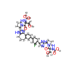 COC(=O)N[C@H](C(=O)N1CCC[C@H]1c1ncc(-c2ccc(-c3ccc4c(c3)CCCc3[nH]c([C@@H]5CCCN5C(=O)[C@@H](NC(=O)OC)[C@@H](C)OC)nc3-4)cc2F)[nH]1)[C@H](C)OC